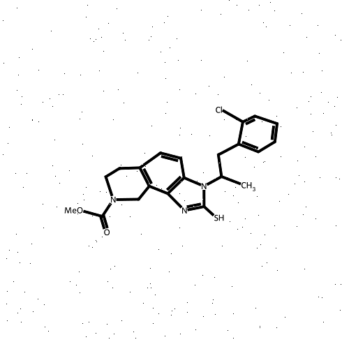 COC(=O)N1CCc2ccc3c(nc(S)n3C(C)Cc3ccccc3Cl)c2C1